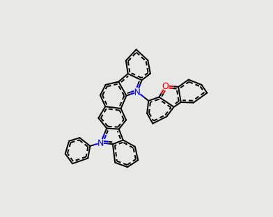 c1ccc(-n2c3ccccc3c3cc4c(ccc5c6ccccc6n(-c6cccc7c6oc6ccccc67)c45)cc32)cc1